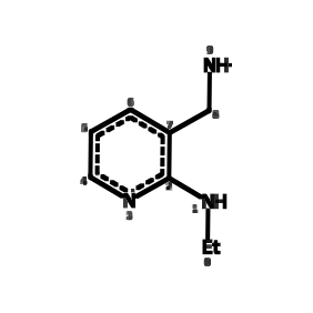 CCNc1ncccc1C[NH]